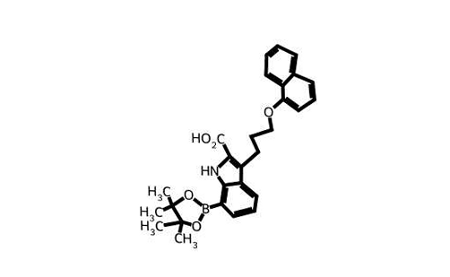 CC1(C)OB(c2cccc3c(CCCOc4cccc5ccccc45)c(C(=O)O)[nH]c23)OC1(C)C